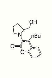 CCCCc1c(N2CCCC2CO)c(=O)oc2ccccc12